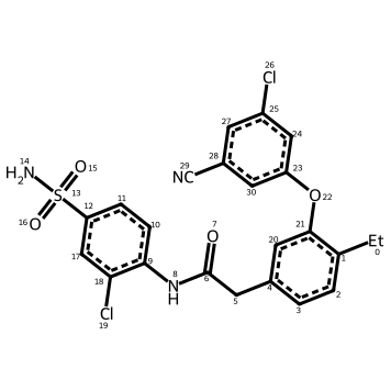 CCc1ccc(CC(=O)Nc2ccc(S(N)(=O)=O)cc2Cl)cc1Oc1cc(Cl)cc(C#N)c1